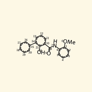 COc1ccccc1NC(=O)c1cccc(-c2ccccc2)c1O